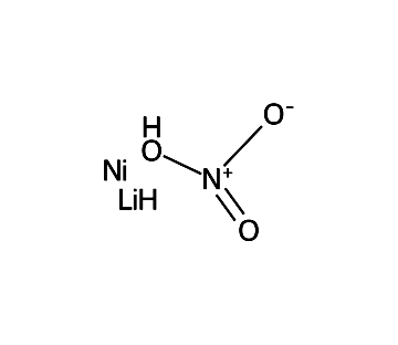 O=[N+]([O-])O.[LiH].[Ni]